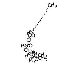 CCCCCCCCCCCCCCCCNC(=O)Oc1ccc(C(=O)Nc2cccc(-c3nn4nc(C(C)(C)C)c(Cl)c4[nH]3)c2)cc1